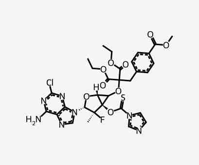 CCOC(=O)C(Cc1ccc(C(=O)OC)cc1)(OC1[C@H]2O[C@@H](n3cnc4c(N)nc(Cl)nc43)[C@](C)(F)[C@@]12OC(=S)n1ccnc1)C(=O)OCC